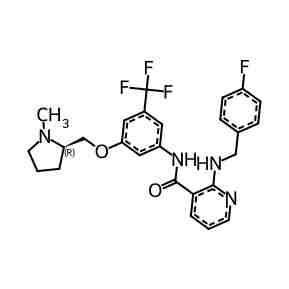 CN1CCC[C@@H]1COc1cc(NC(=O)c2cccnc2NCc2ccc(F)cc2)cc(C(F)(F)F)c1